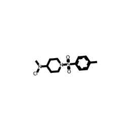 Cc1ccc(S(=O)(=O)N2CCC(N(C)Cl)CC2)cc1